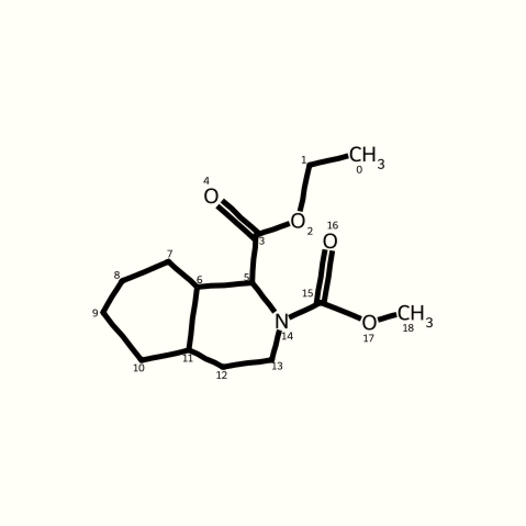 CCOC(=O)C1C2CCCCC2CCN1C(=O)OC